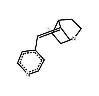 C(=C1/CN2CCC1CC2)/c1ccncc1